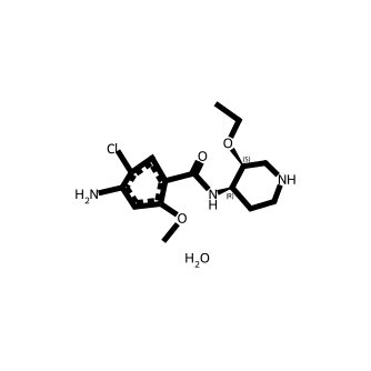 CCO[C@H]1CNCC[C@H]1NC(=O)c1cc(Cl)c(N)cc1OC.O